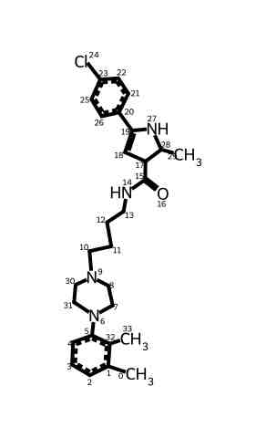 Cc1cccc(N2CCN(CCCCNC(=O)C3C=C(c4ccc(Cl)cc4)NC3C)CC2)c1C